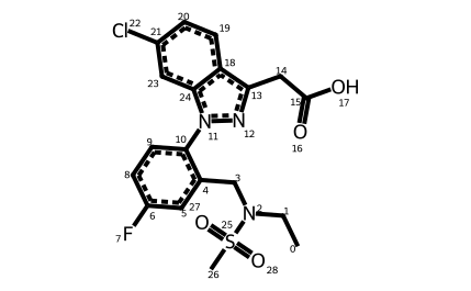 CCN(Cc1cc(F)ccc1-n1nc(CC(=O)O)c2ccc(Cl)cc21)S(C)(=O)=O